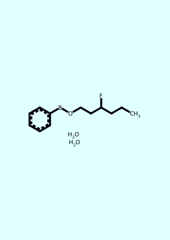 CCCC(F)CCO[B]c1ccccc1.O.O